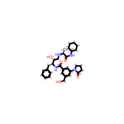 C[C@H](NC[C@@H](O)[C@H](Cc1ccccc1)NC(=O)c1cc(CO)cc(N2CCCC2=O)c1)C(=O)NC1CCCCC1